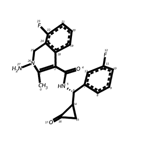 CC1=C(C(=O)N[C@H](c2cccc(F)c2)C2CC2=O)c2cccc(F)c2CN1N